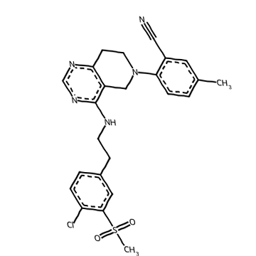 Cc1ccc(N2CCc3ncnc(NCCc4ccc(Cl)c(S(C)(=O)=O)c4)c3C2)c(C#N)c1